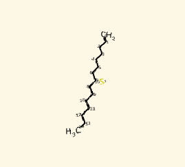 C=CCCCCCCCCCCCCC.[S]